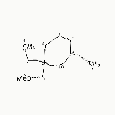 COCC1(COC)CCC[C@H](C)C1